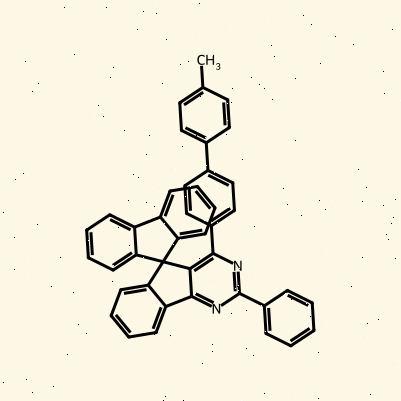 Cc1ccc(-c2ccc(-c3nc(-c4ccccc4)nc4c3C3(c5ccccc5-c5ccccc53)c3ccccc3-4)cc2)cc1